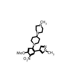 COc1cc(N2CCC(N3CCN(C)CC3)CC2)c(-c2cnn(C)c2)cc1[N+](=O)[O-]